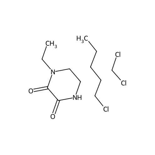 CCCCCCl.CCN1CCNC(=O)C1=O.ClCCl